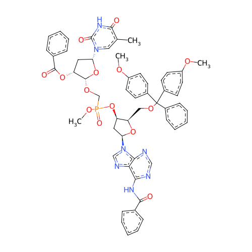 COc1ccc(C(OC[C@H]2O[C@@H](n3cnc4c(NC(=O)c5ccccc5)ncnc43)C[C@H]2OP(=O)(CO[C@H]2O[C@@H](n3cc(C)c(=O)[nH]c3=O)C[C@H]2OC(=O)c2ccccc2)OC)(c2ccccc2)c2ccc(OC)cc2)cc1